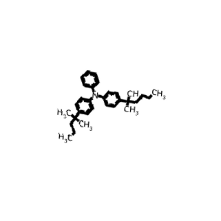 CCCCC(C)(C)c1ccc(N(c2ccccc2)c2ccc(C(C)(C)CCC)cc2)cc1